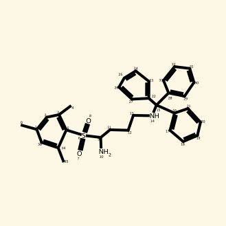 Cc1cc(C)c(S(=O)(=O)C(N)CCCNC(c2ccccc2)(c2ccccc2)c2ccccc2)c(C)c1